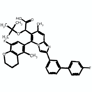 Cc1cc2nc(-c3cccc(-c4ccc(F)cc4)c3)cn2c(-c2cc(F)c3c(c2C)CCCO3)c1C(OC(C)(C)C)C(=O)O